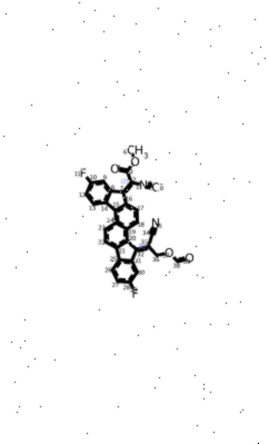 [C-]#[N+]/C(C(=O)OC)=C1/c2cc(F)ccc2-c2c1ccc1c3c(ccc21)-c1ccc(F)cc1/C3=C(/C#N)COC=O